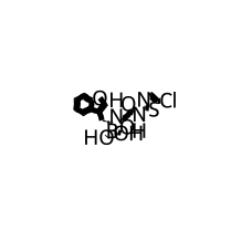 O=C(Nc1ncc(Cl)s1)C(=O)N[C@@H](Cc1coc2ccccc12)B(O)O